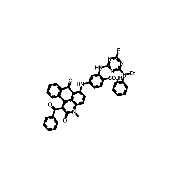 CCN(c1ccccc1)c1nc(F)nc(Nc2cc(Nc3ccc4c5c3C(=O)c3ccccc3-c5c(C(=O)c3ccccc3)c(=O)n4C)ccc2S(=O)(=O)O)n1